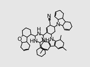 CC1=Cc2c3c(n(C4CC(N5C6C=CCCC6C6CCC=CC65)C(C#N)C=C4C4NC(C5=CCCCC5)NC(C5CCCC6OC7CC=CCC7C65)N4)c2C(C)C1)C(C)CC(C)=C3